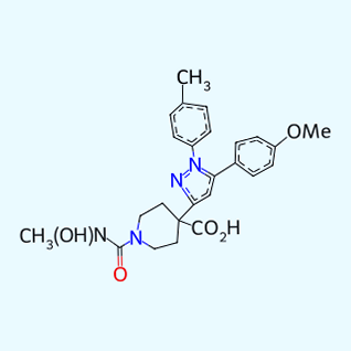 COc1ccc(-c2cc(C3(C(=O)O)CCN(C(=O)N(C)O)CC3)nn2-c2ccc(C)cc2)cc1